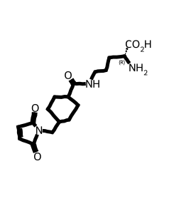 N[C@H](CCCNC(=O)C1CCC(CN2C(=O)C=CC2=O)CC1)C(=O)O